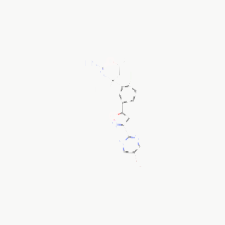 CC1(c2cc(-c3cc(-c4ncc(Br)cn4)no3)ccc2F)C[C@@H](C(F)(F)F)OC(N)=N1